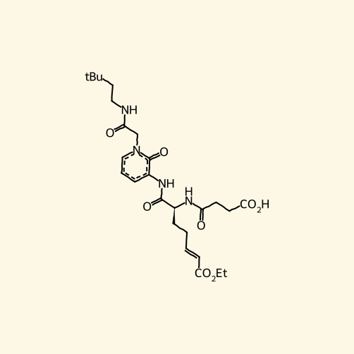 CCOC(=O)/C=C/CC[C@H](NC(=O)CCC(=O)O)C(=O)Nc1cccn(CC(=O)NCCC(C)(C)C)c1=O